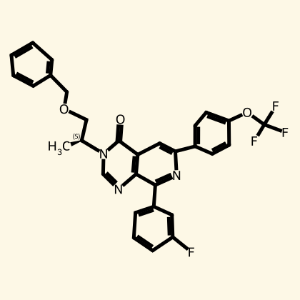 C[C@@H](COCc1ccccc1)n1cnc2c(-c3cccc(F)c3)nc(-c3ccc(OC(F)(F)F)cc3)cc2c1=O